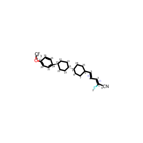 N#C/C(F)=C/C=C/C1CCC([C@H]2CC[C@H](c3ccc(OC(F)(F)F)cc3)CC2)CC1